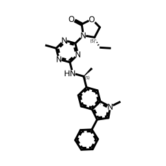 CC[C@H]1COC(=O)N1c1nc(C)nc(N[C@@H](C)c2ccc3c(-c4ccccc4)cn(C)c3c2)n1